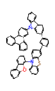 c1cc(-c2ccc3c(c2)Sc2ccccc2N3c2cccc3c2oc2ccccc23)cc(-c2ccc3c4ccccc4n(-c4ccc5c6ccccc6c6ccccc6c5c4)c3c2)c1